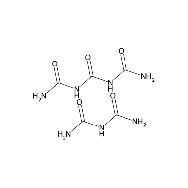 NC(=O)NC(=O)NC(N)=O.NC(=O)NC(N)=O